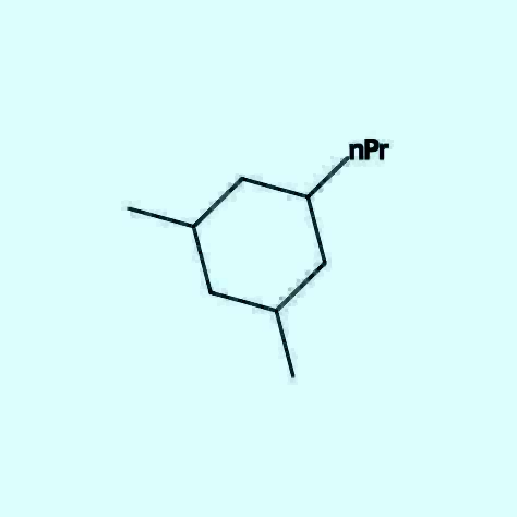 CCCC1CC(C)CC(C)C1